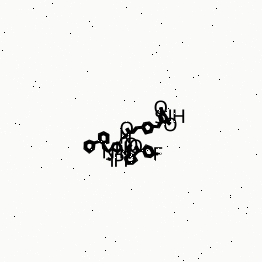 CC(C)CN(Cc1ccccc1-c1ccccc1)C1C[C@@H](CNC(=O)/C=C/c2ccc(/C=C3\SC(=O)NC3=O)cc2)N(C(=O)c2ccccc2C(=O)c2ccc(F)cc2)C1